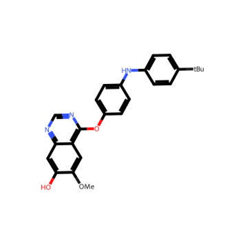 COc1cc2c(Oc3ccc(Nc4ccc(C(C)(C)C)cc4)cc3)ncnc2cc1O